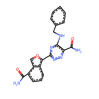 NC(=O)c1nnc(-c2occ3c(C(N)=O)cccc23)nc1NCc1ccccc1